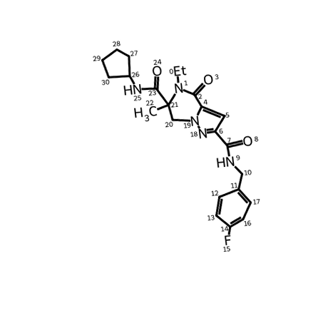 CCN1C(=O)c2cc(C(=O)NCc3ccc(F)cc3)nn2CC1(C)C(=O)NC1CCCC1